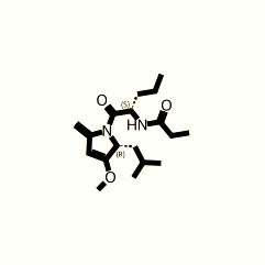 C=C1C=C(OC)[C@@H](CC(C)C)N1C(=O)[C@H](CCC)NC(=O)CC